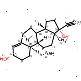 C#C[C@]1(O)CC[C@H]2[C@@H]3CCC4=C[C@@H](O)CC[C@@H]4[C@H]3CC[C@@]21C.[NaH]